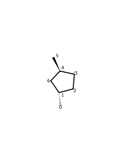 C[C@H]1C[CH][C@H](C)C1